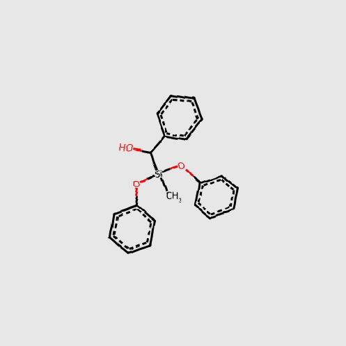 C[Si](Oc1ccccc1)(Oc1ccccc1)C(O)c1ccccc1